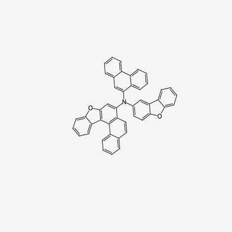 c1ccc2c(c1)cc(N(c1ccc3oc4ccccc4c3c1)c1cc3oc4ccccc4c3c3c1ccc1ccccc13)c1ccccc12